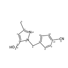 Cc1cc(C(=O)O)n(Cc2ccc(C#N)cc2)n1